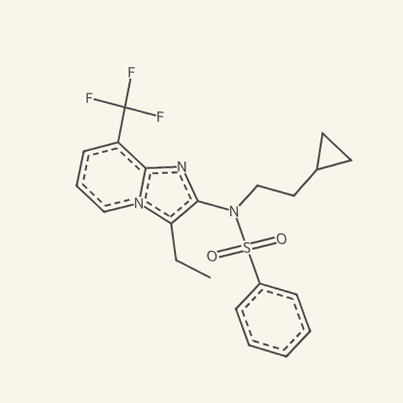 CCc1c(N(CCC2CC2)S(=O)(=O)c2ccccc2)nc2c(C(F)(F)F)cccn12